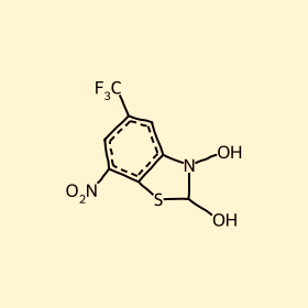 O=[N+]([O-])c1cc(C(F)(F)F)cc2c1SC(O)N2O